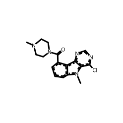 CN1CCN(C(=O)c2cccc3c2c2ncnc(Cl)c2n3C)CC1